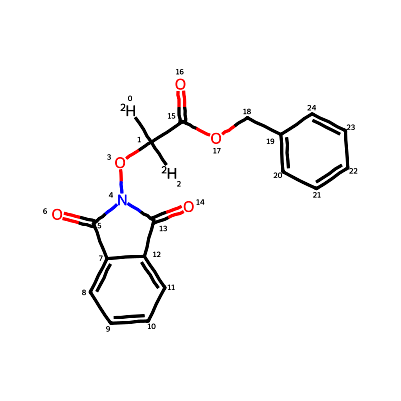 [2H]C([2H])(ON1C(=O)c2ccccc2C1=O)C(=O)OCc1ccccc1